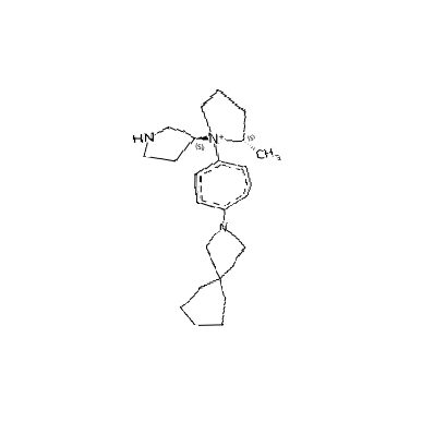 C[C@H]1CCC[N+]1(c1ccc(N2CCC3(CCCCC3)C2)cc1)[C@H]1CCNC1